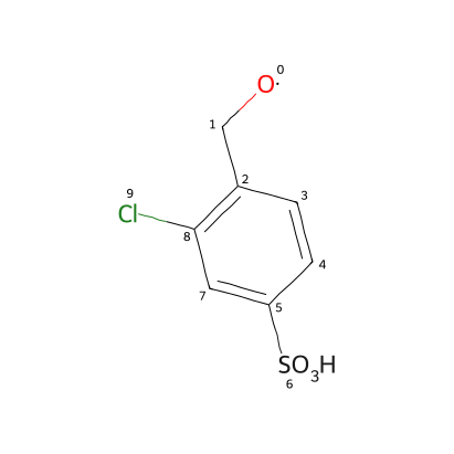 [O]Cc1ccc(S(=O)(=O)O)cc1Cl